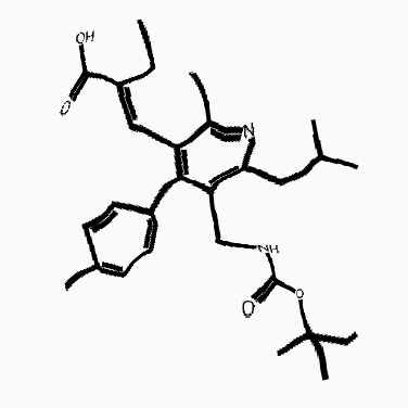 CC/C(=C\c1c(C)nc(CC(C)C)c(CNC(=O)OC(C)(C)C)c1-c1ccc(C)cc1)C(=O)O